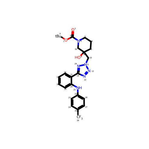 CC(C)(C)OC(=O)N1CCCC(O)(Cn2nnc(-c3ccccc3Nc3ccc(C(F)(F)F)cc3)n2)C1